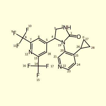 O=C1NCC(c2cc(C(F)(F)F)nc(C(F)(F)F)c2)N1c1cnccc1C1CC1